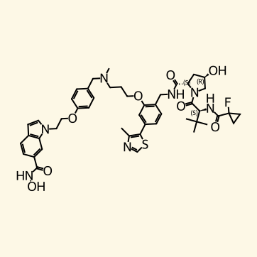 Cc1ncsc1-c1ccc(CNC(=O)[C@@H]2C[C@@H](O)CN2C(=O)[C@@H](NC(=O)C2(F)CC2)C(C)(C)C)c(OCCCN(C)Cc2ccc(OCCn3ccc4ccc(C(=O)NO)cc43)cc2)c1